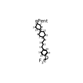 CCCCCC1CCC(C2CCC(CCCCc3ccc(OC(F)(F)F)cc3)CC2)CC1